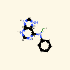 ClN(c1ccccc1)c1ncnc2nc[nH]c12